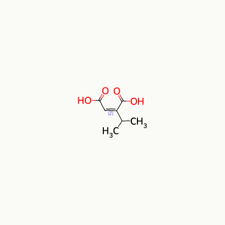 CC(C)/C(=C/C(=O)O)C(=O)O